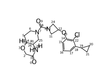 O=C1CO[C@H]2CCN(C(=O)N3CC(Oc4cccc(C5CC5)c4Cl)C3)C[C@H]2N1